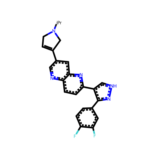 CC(C)N1CC=C(c2cnc3ccc(-c4c[nH]nc4-c4ccc(F)c(F)c4)nc3c2)C1